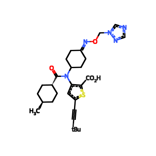 CC(C)(C)C#Cc1cc(N(C(=O)[C@H]2CC[C@H](C)CC2)C2CCC(=NOCn3cncn3)CC2)c(C(=O)O)s1